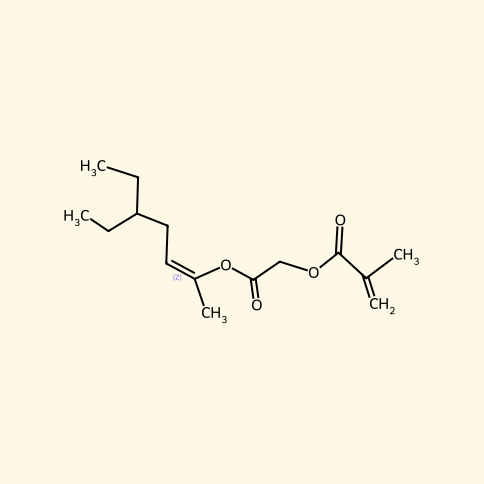 C=C(C)C(=O)OCC(=O)O/C(C)=C\CC(CC)CC